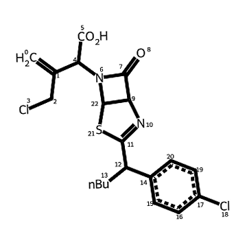 C=C(CCl)C(C(=O)O)N1C(=O)C2N=C(C(CCCC)c3ccc(Cl)cc3)SC21